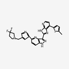 Cc1ccc(-c2ccnc3[nH]c(-c4n[nH]c5ccc(-c6cncc(CN7CCC(F)(F)C7)c6)nc45)nc23)s1